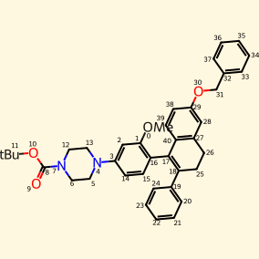 COc1cc(N2CCN(C(=O)OC(C)(C)C)CC2)ccc1C1=C(c2ccccc2)CCc2cc(OCc3ccccc3)ccc21